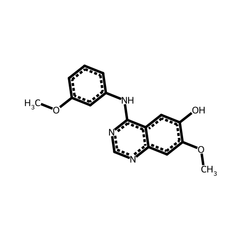 COc1cccc(Nc2ncnc3cc(OC)c(O)cc23)c1